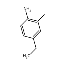 CCc1ccc(N)c(I)c1